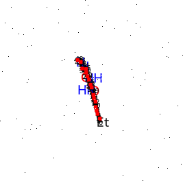 CCC=CCC=CCC=CCC=CCC=CCCCC(=O)NCCSSCCNC(=O)CC=Cc1ccc(CCN2CCCC2)nc1